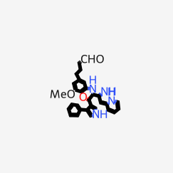 COc1cc(CCCC=O)cc(NC(C(=N)/C=C2/C=CC=CN2)C(=O)c2c[nH]cc2-c2ccccc2)c1